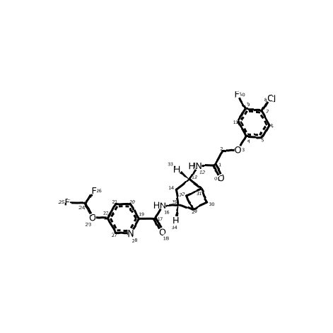 O=C(COc1ccc(Cl)c(F)c1)N[C@H]1C[C@@H](NC(=O)c2ccc(OC(F)F)cn2)C2CC1C2